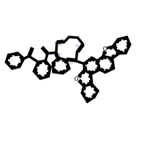 C=C(C1=c2\cccc\c2=C(c2cc3c(ccc4c5ccccc5oc43)c3c2oc2ccccc23)\C=C\CC\C=C\1)c1ccccc1C(=C)c1ccccc1